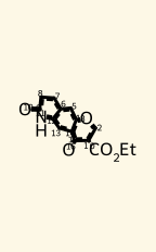 CCOC(=O)c1coc2cc3ccc(=O)[nH]c3cc2c1=O